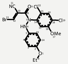 CCOc1ccc(NN(C(=O)C(C#N)=CBr)c2cc(OC)c(Cl)cc2Cl)cc1